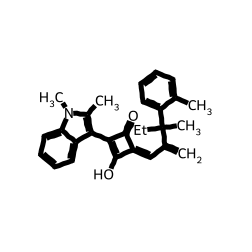 C=C(/C=C1\C(=O)C(c2c(C)n(C)c3ccccc23)=C1O)C(C)(CC)c1ccccc1C